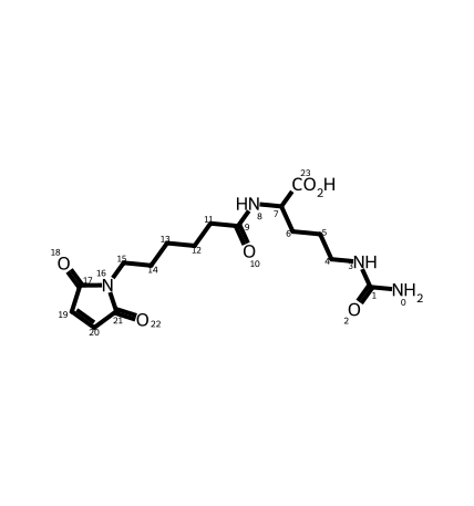 NC(=O)NCCCC(NC(=O)CCCCCN1C(=O)C=CC1=O)C(=O)O